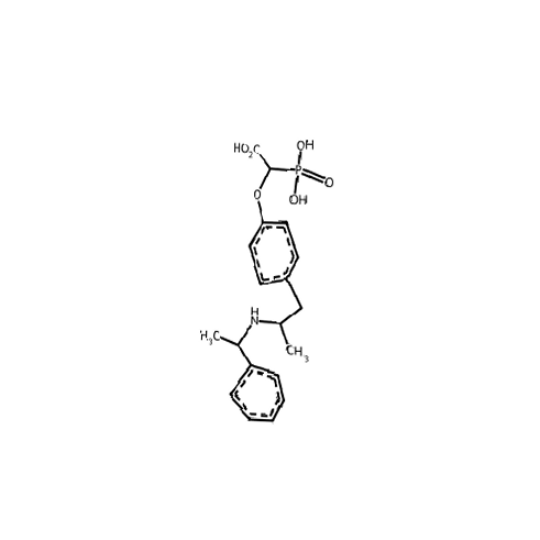 CC(Cc1ccc(OC(C(=O)O)P(=O)(O)O)cc1)NC(C)c1ccccc1